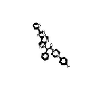 O=C(C(c1ccccc1)n1ncc2c1ncn1nc(-c3ccco3)nc21)N1CCN(c2ccc(F)cc2)CC1